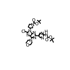 CC(C)(C)OC(=O)Nc1ncc(C2=NC3C(N=C(Cl)N3C3CCN(C(=O)OC(C)(C)C)C3)C(N3CCOCC3)=N2)cn1